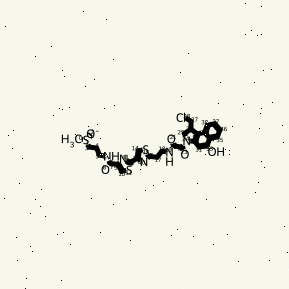 C[S+]([O-])CCCNC(=O)c1csc(-c2csc(CCNC(=O)C(=O)N3CC(CCl)c4c3cc(O)c3ccccc43)n2)n1